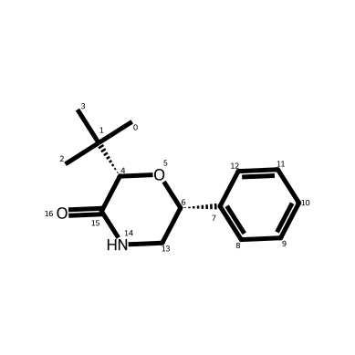 CC(C)(C)[C@@H]1O[C@H](c2ccccc2)CNC1=O